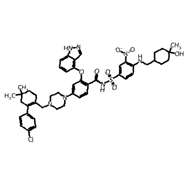 CC1(C)CCC(CN2CCN(c3ccc(C(=O)NS(=O)(=O)c4ccc(NCC5CCC(C)(O)CC5)c([N+](=O)[O-])c4)c(Oc4cccc5[nH]ncc45)c3)CC2)=C(c2ccc(Cl)cc2)C1